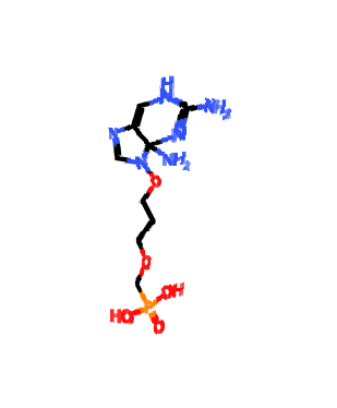 NC1=NC2(N)C(=CN1)N=CN2OCCCOCP(=O)(O)O